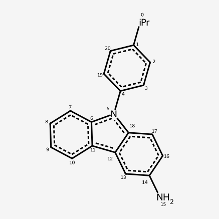 CC(C)c1ccc(-n2c3ccccc3c3cc(N)ccc32)cc1